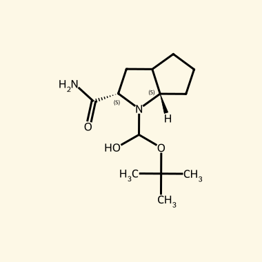 CC(C)(C)OC(O)N1[C@H](C(N)=O)CC2CCC[C@@H]21